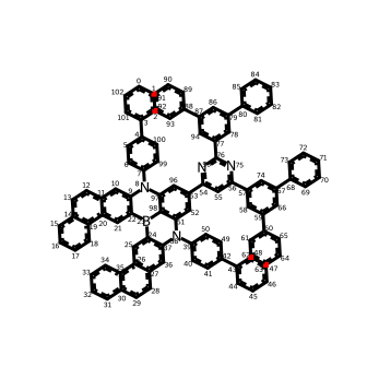 c1ccc(-c2ccc(N3c4cc5ccc6ccccc6c5cc4B4c5cc6c(ccc7ccccc76)cc5N(c5ccc(-c6ccccc6)cc5)c5cc(-c6cc(-c7cc(-c8ccccc8)cc(-c8ccccc8)c7)nc(-c7cc(-c8ccccc8)cc(-c8ccccc8)c7)n6)cc3c54)cc2)cc1